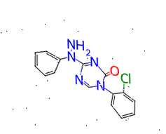 NN(c1ccccc1)c1ncn(-c2ccccc2Cl)c(=O)n1